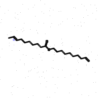 C=CCCCCCCCCOC(=O)CCCCCC/C=C/C